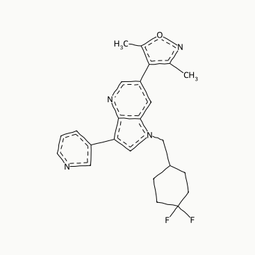 Cc1noc(C)c1-c1cnc2c(-c3cccnc3)cn(CC3CCC(F)(F)CC3)c2c1